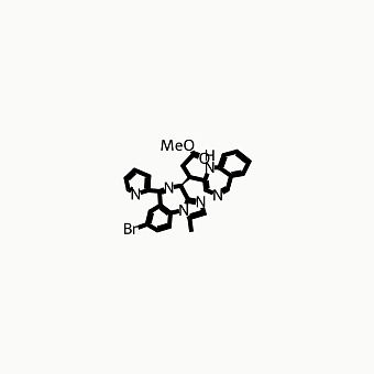 COC(=O)CC(C1=CN=Cc2ccccc2N1)[C@@H]1N=C(c2ccccn2)c2cc(Br)ccc2-n2c(C)cnc21